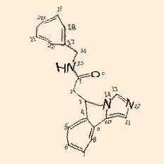 O=C(CC1c2ccccc2-c2cncn21)NCc1ccccc1